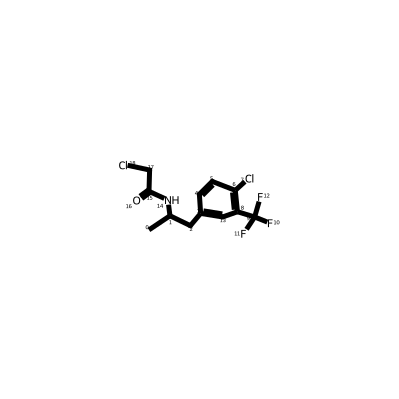 CC(Cc1ccc(Cl)c(C(F)(F)F)c1)NC(=O)CCl